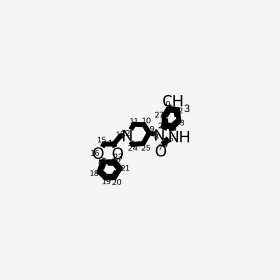 Cc1ccc2[nH]c(=O)n(C3CCN(CC4COc5ccccc5O4)CC3)c2c1